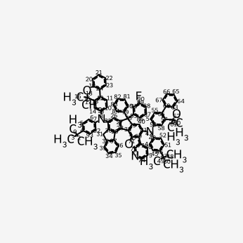 CC(C)(C)c1ccc(N(c2ccc3c(c2)C(C)(C)Oc2ccccc2-3)c2cc3c(c4c2Cc2ccccc2-4)-c2c(cc(N(c4ccc(C(C)(C)C)cc4)c4ccc5c(c4)C(C)(C)Oc4ccccc4-5)c4c2oc2ncccc24)C3(c2ccccc2)c2cccc(F)c2)cc1